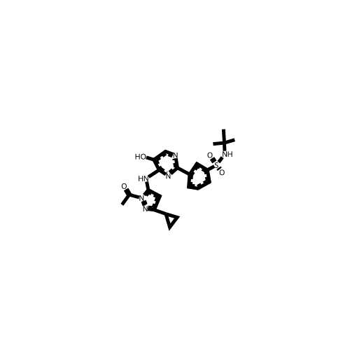 CC(=O)n1nc(C2CC2)cc1Nc1nc(-c2cccc(S(=O)(=O)NC(C)(C)C)c2)ncc1O